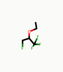 CCOC(CF)C(F)(F)F